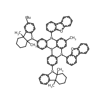 Cc1cc2c3c(c1)N(c1cccc4c1oc1ccccc14)c1cc(N4c5ccc(C(C)(C)C)cc5C5(C)CCCCC45C)ccc1B3c1ccc(N3c4ccccc4C4(C)CCCCC34C)cc1N2c1cccc2c1oc1ccccc12